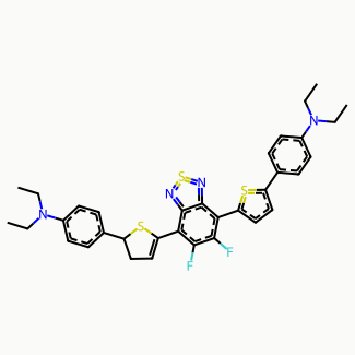 CCN(CC)c1ccc(-c2ccc(-c3c(F)c(F)c(C4=CCC(c5ccc(N(CC)CC)cc5)S4)c4nsnc34)s2)cc1